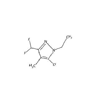 CCn1nc(C(F)F)c(C)c1Cl